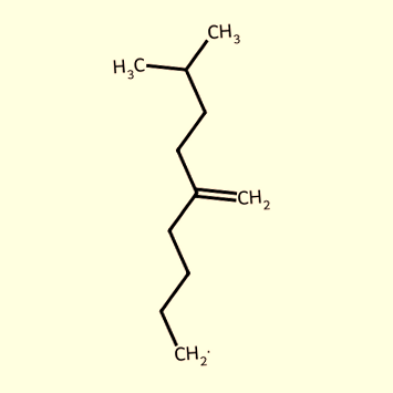 [CH2]CCCC(=C)CCC(C)C